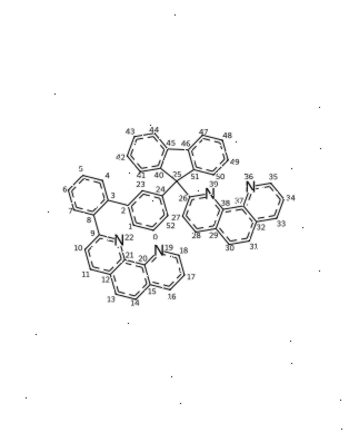 c1cc(-c2ccccc2-c2ccc3ccc4cccnc4c3n2)cc(C2(c3ccc4ccc5cccnc5c4n3)c3ccccc3-c3ccccc32)c1